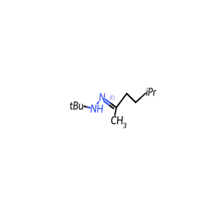 C/C(CCC(C)C)=N\NC(C)(C)C